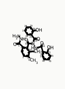 Cc1ccc(C(=O)NN)c(C(=O)N(NC(=O)c2ccccc2O)C(=O)c2ccccc2O)c1C